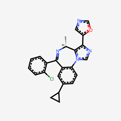 C[C@H]1N=C(c2ccccc2Cl)c2cc(C3CC3)ccc2-n2cnc(-c3cnco3)c21